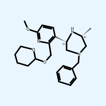 COc1ccc([C@H]2CN(Cc3ccccc3)C[C@@H](C)N2)c(COC2CCCCO2)n1